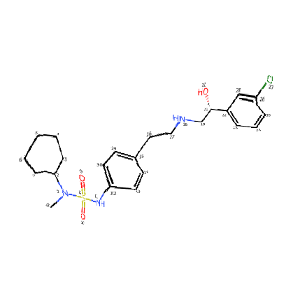 CN(C1CCCCC1)S(=O)(=O)Nc1ccc(CCNC[C@H](O)c2cccc(Cl)c2)cc1